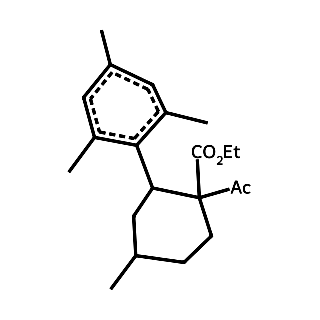 CCOC(=O)C1(C(C)=O)CCC(C)CC1c1c(C)cc(C)cc1C